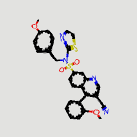 COc1ccc(CN(c2nccs2)S(=O)(=O)c2ccc3c(-c4ccccc4OC)c(C#N)cnc3c2)cc1